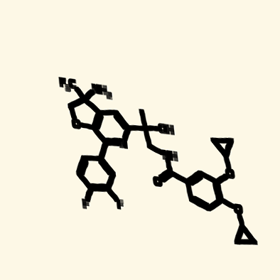 CC(O)(CNC(=O)c1ccc(OC2CC2)c(OC2CC2)c1)c1cc2c(c(-c3ccc(F)c(F)c3)n1)OCC2(N)C(F)(F)F